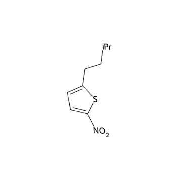 CC(C)CCc1ccc([N+](=O)[O-])s1